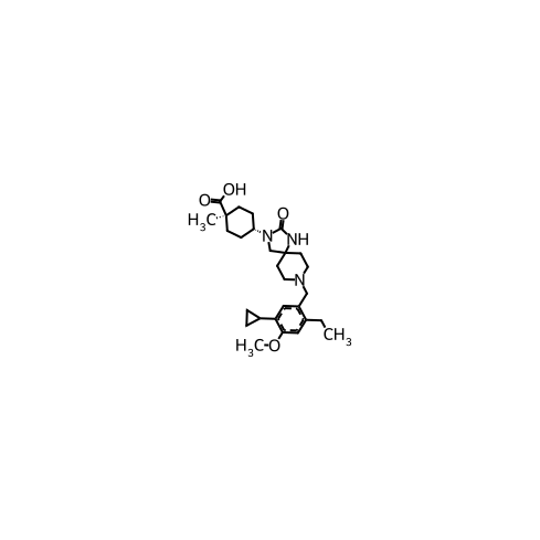 CCc1cc(OC)c(C2CC2)cc1CN1CCC2(CC1)CN([C@H]1CC[C@](C)(C(=O)O)CC1)C(=O)N2